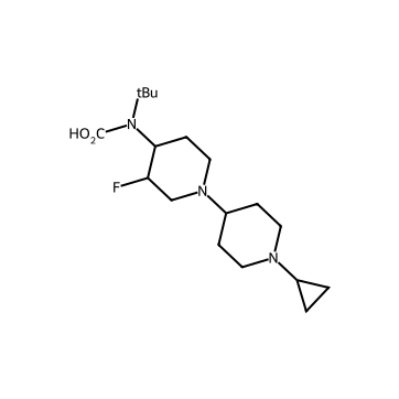 CC(C)(C)N(C(=O)O)C1CCN(C2CCN(C3CC3)CC2)CC1F